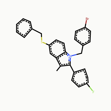 Cc1c(-c2ccc(F)cc2)n(Cc2ccc(Br)cc2)c2ccc(SCc3ccccc3)cc12